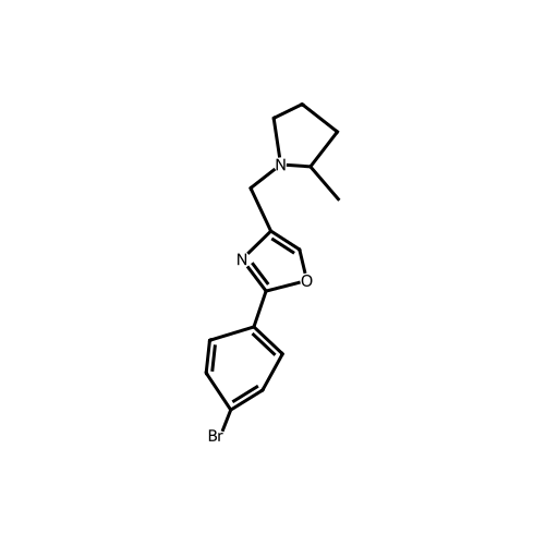 CC1CCCN1Cc1coc(-c2ccc(Br)cc2)n1